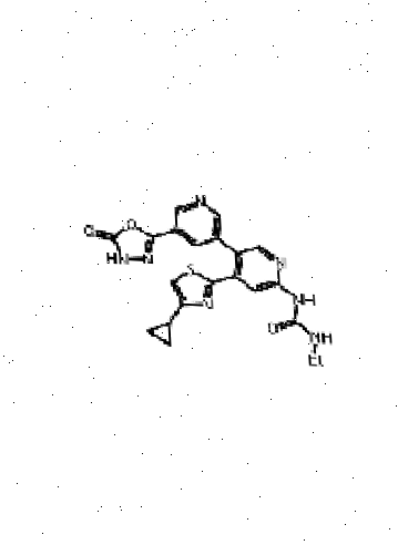 CCNC(=O)Nc1cc(-c2nc(C3CC3)cs2)c(-c2cncc(-c3n[nH]c(=O)o3)c2)cn1